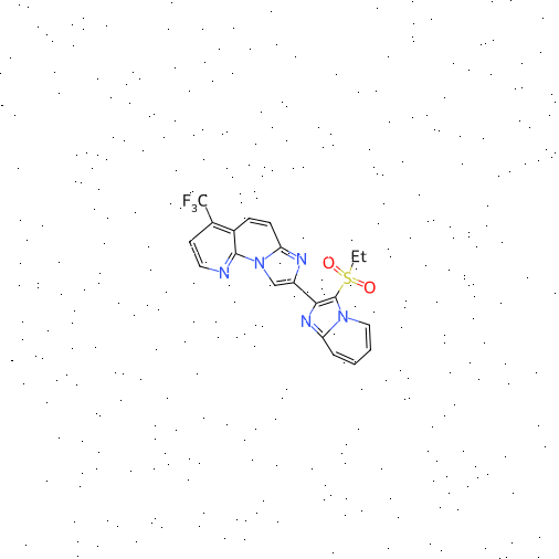 CCS(=O)(=O)c1c(-c2cn3c(ccc4c(C(F)(F)F)ccnc43)n2)nc2ccccn12